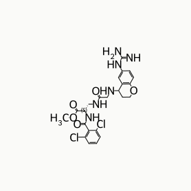 COC(=O)[C@H](CNC(=O)CNC1CCOc2ccc(NC(=N)N)cc21)NC(=O)c1c(Cl)cccc1Cl